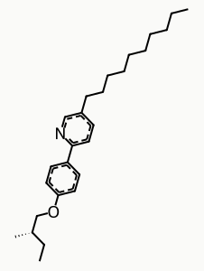 CCCCCCCCCCc1ccc(-c2ccc(OC[C@@H](C)CC)cc2)nc1